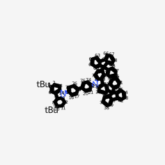 CC(C)(C)c1ccc2c(c1)C1CC(C(C)(C)C)CCC1N2c1ccc(-c2ccc(-n3c4ccc(C5(c6ccccc6)c6ccccc6-c6ccccc65)cc4c4cc(C5(c6ccccc6)c6ccccc6-c6ccccc65)ccc43)cc2)cc1